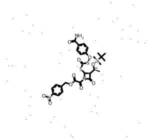 C[C@H](O[Si](C)(C)C(C)(C)C)C1C(=O)N(C(=O)C(=O)OCc2ccc([N+](=O)[O-])cc2)C1SC(=O)SOc1ccc(C(N)=O)cc1